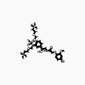 COc1cc(Br)ccc1OCC(=O)NC[C@H](O)c1ccc(OCOCC[Si](C)(C)C)c(N(COCC[Si](C)(C)C)S(C)(=O)=O)c1